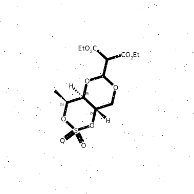 CCOC(=O)C(C(=O)OCC)C1OC[C@@H]2OS(=O)(=O)O[C@@H](C)[C@H]2O1